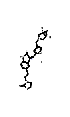 Cl.O=C1Nc2ccc(CCN3CCOC3=O)cc2/C1=C/c1cc(CN2C[C@H]3C[C@H]3C2)c[nH]1